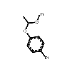 CCc1ccc(OC(C)OC(C)C)cc1